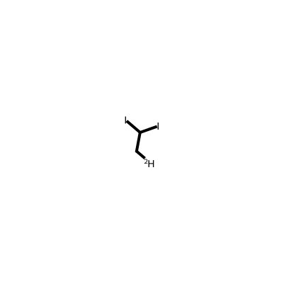 [2H]CC(I)I